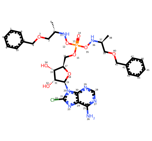 C[C@@H](COCc1ccccc1)NOP(=O)(OC[C@H]1O[C@@H](n2c(Cl)nc3c(N)ncnc32)[C@H](O)[C@@H]1O)ON[C@@H](C)COCc1ccccc1